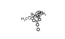 CC1C=CC2=C(C1)c1ccc(N(c3ccc(-c4ccccc4)cc3)c3cccc(B4OC(C)(C)C(C)(C)O4)c3)cc1C2(C)C